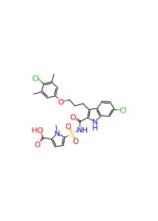 Cc1cc(OCCCc2c(C(=O)NS(=O)(=O)c3ccc(C(=O)O)n3C)[nH]c3cc(Cl)ccc23)cc(C)c1Cl